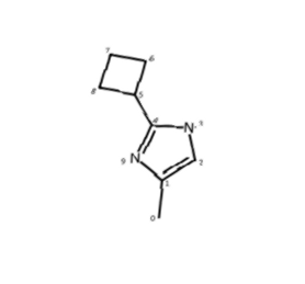 CC1=C[N]C(C2CCC2)=N1